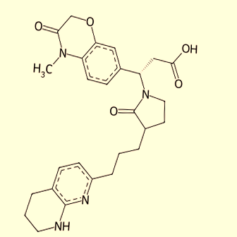 CN1C(=O)COc2cc([C@H](CC(=O)O)N3CCC(CCCc4ccc5c(n4)NCCC5)C3=O)ccc21